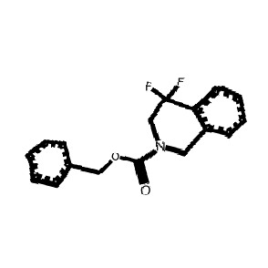 O=C(OCc1ccccc1)N1Cc2ccccc2C(F)(F)C1